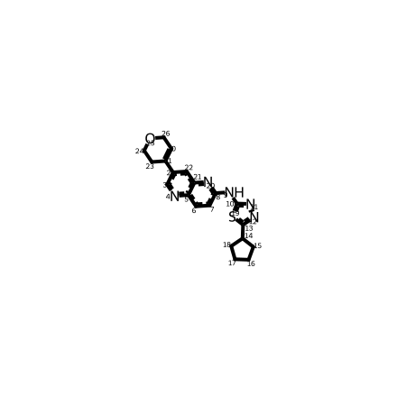 C1=C(c2cnc3ccc(Nc4nnc(C5CCCC5)s4)nc3c2)CCOC1